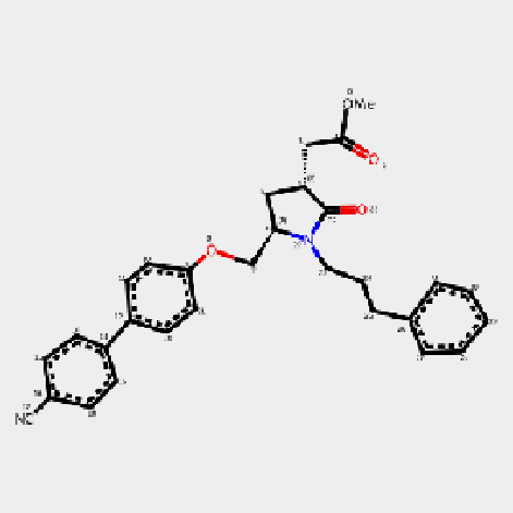 COC(=O)C[C@H]1C[C@H](COc2ccc(-c3ccc(C#N)cc3)cc2)N(CCCc2ccccc2)C1=O